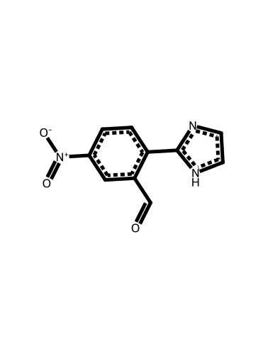 O=Cc1cc([N+](=O)[O-])ccc1-c1ncc[nH]1